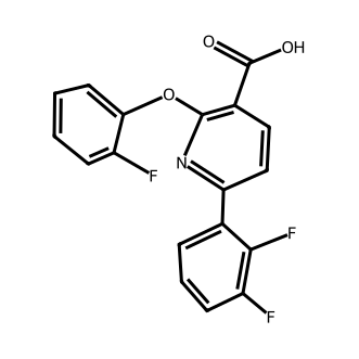 O=C(O)c1ccc(-c2cccc(F)c2F)nc1Oc1ccccc1F